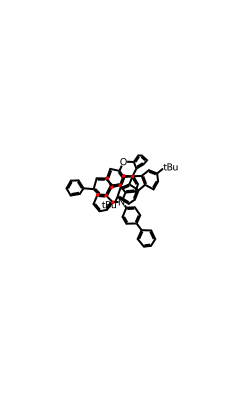 CC(C)(C)c1ccc2c(c1)C1(c3ccccc3Oc3ccc(-c4ccccc4N(c4ccc(-c5ccccc5)cc4)c4ccccc4-c4ccc(-c5ccccc5)cc4)cc31)c1cc(C(C)(C)C)ccc1-2